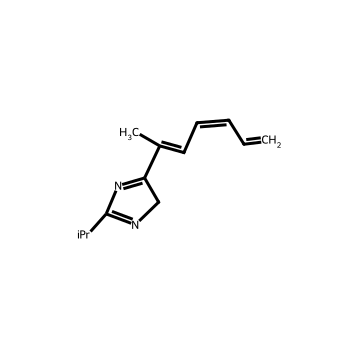 C=C/C=C\C=C(/C)C1=NC(C(C)C)=NC1